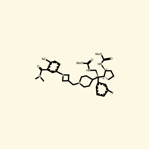 COC(=O)NC[C@@](c1cccc(F)c1)(C1CCN(CC2CN(c3ccc(C#N)c(C(=O)N(C)C)c3)C2)CC1)[C@H]1CCC[C@@H]1NC(=O)OC